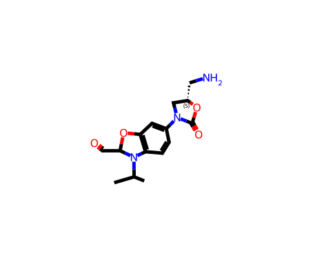 CC(C)N1c2ccc(N3C[C@H](CN)OC3=O)cc2OC1C=O